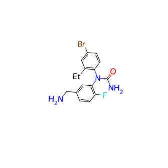 CCc1cc(Br)ccc1N(C(N)=O)c1cc(CN)ccc1F